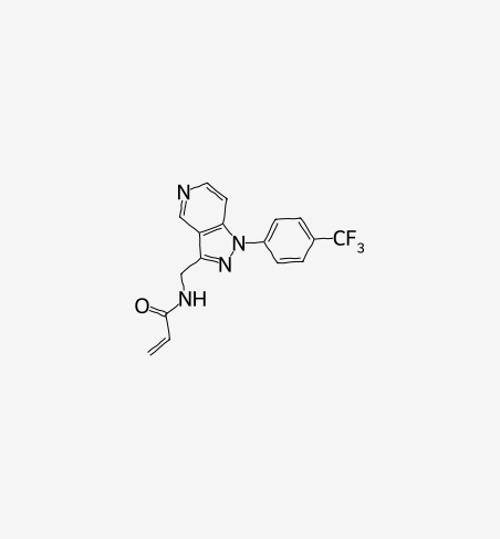 C=CC(=O)NCc1nn(-c2ccc(C(F)(F)F)cc2)c2ccncc12